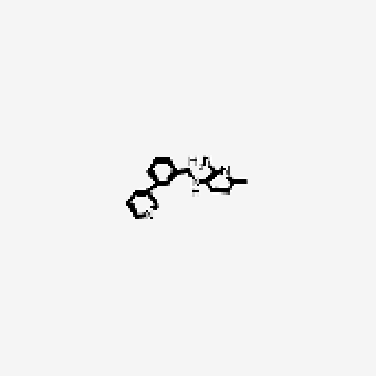 Cc1ccc(NCc2cccc(-c3cccnc3)c2)c(N)n1